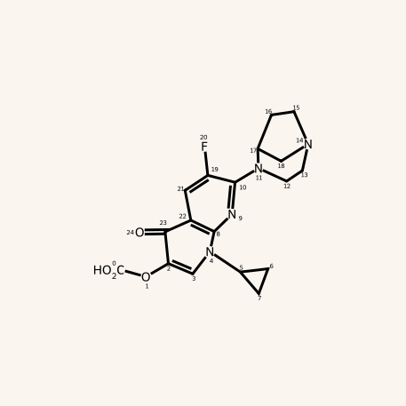 O=C(O)Oc1cn(C2CC2)c2nc(N3CCN4CCC3C4)c(F)cc2c1=O